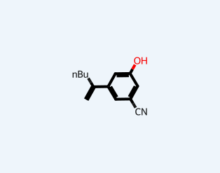 C=C(CCCC)c1cc(O)cc(C#N)c1